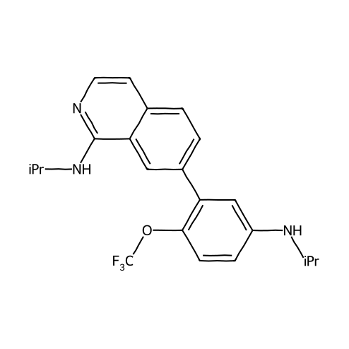 CC(C)Nc1ccc(OC(F)(F)F)c(-c2ccc3ccnc(NC(C)C)c3c2)c1